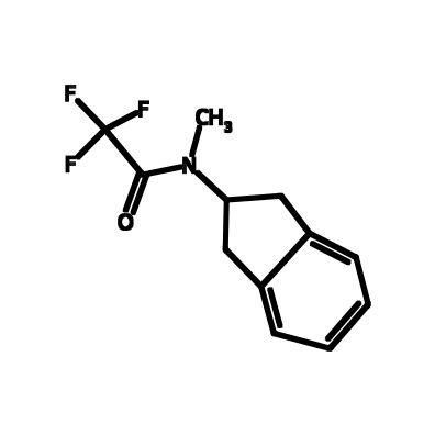 CN(C(=O)C(F)(F)F)C1Cc2ccccc2C1